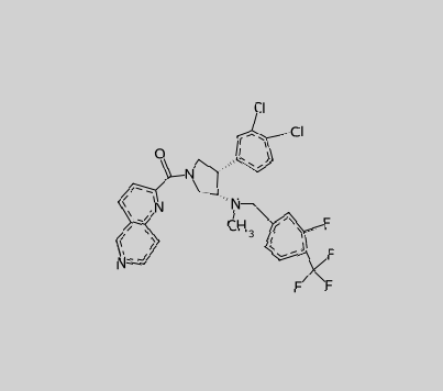 CN(Cc1ccc(C(F)(F)F)c(F)c1)[C@@H]1CN(C(=O)c2ccc3cnccc3n2)C[C@@H]1c1ccc(Cl)c(Cl)c1